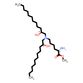 CCCCCCCCCC[C@H](O)CN(CCCC[C@H](N)C(=O)OC)C[C@@H](O)CCCCCCCCCC